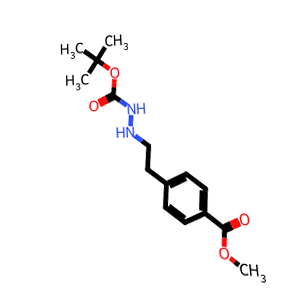 COC(=O)c1ccc(CCNNC(=O)OC(C)(C)C)cc1